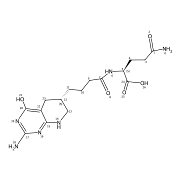 NC(=O)CC[C@H](NC(=O)CCC[C@@H]1CNc2nc(N)nc(O)c2C1)C(=O)O